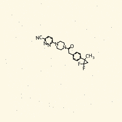 CC1(c2ccc(CC(=O)N3CCN(c4ccc(C#N)nn4)CC3)cc2)CC1(F)F